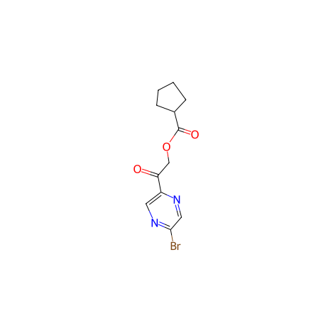 O=C(COC(=O)C1CCCC1)c1cnc(Br)cn1